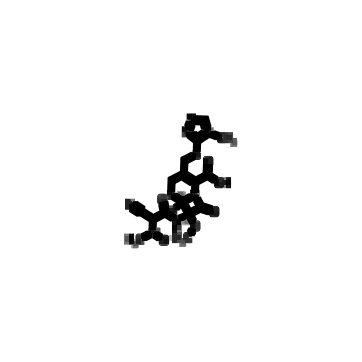 CO[C@@]1(NC(=O)C(C#N)[S+](C)[O-])C(=O)N2C(C(=O)O)=C(CSc3nncn3C)CS[C@H]21